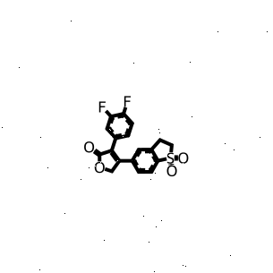 O=C1OCC(c2ccc3c(c2)CCS3(=O)=O)=C1c1ccc(F)c(F)c1